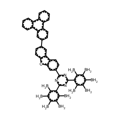 Bc1c(B)c(B)c(-c2nc(-c3ccc4c(c3)oc3ccc(-c5ccc6c7ccccc7c7ccccc7c6c5)cc34)nc(-c3c(B)c(B)c(B)c(B)c3B)n2)c(B)c1B